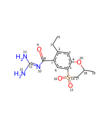 CCc1cc2c(cc1C(=O)N=C(N)N)S(=O)(=O)CC(C)O2